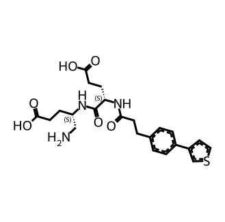 NC[C@H](CCC(=O)O)NC(=O)[C@H](CCC(=O)O)NC(=O)CCc1ccc(-c2ccsc2)cc1